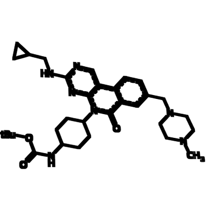 CN1CCN(Cc2ccc3c(c2)c(=O)n(C2CCC(NC(=O)OC(C)(C)C)CC2)c2nc(NCC4CC4)ncc32)CC1